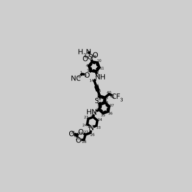 N#CCOc1cc(S(N)(=O)=O)ccc1NCC#Cc1sc2c(NC3CCN(CC4COC(=O)O4)CC3)cccc2c1CC(F)(F)F